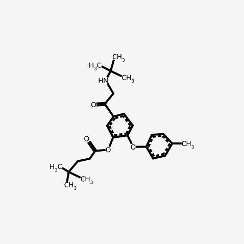 Cc1ccc(Oc2ccc(C(=O)CNC(C)(C)C)cc2OC(=O)CCC(C)(C)C)cc1